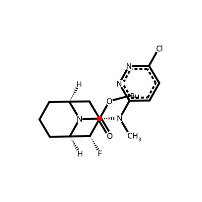 CN(c1ccc(Cl)nn1)[C@H]1C[C@@H]2CCC[C@H]([C@H]1F)N2C(=O)OC(C)(C)C